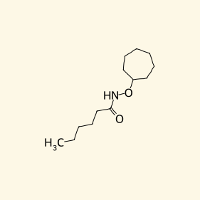 CCCCCC(=O)NOC1CCCCCC1